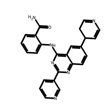 NC(=O)c1ccccc1Nc1nc(-c2cccnc2)nc2ccc(C3C=CN=CC3)cc12